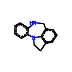 c1cc2c3c(c1)CNc1ccccc1N3CC2